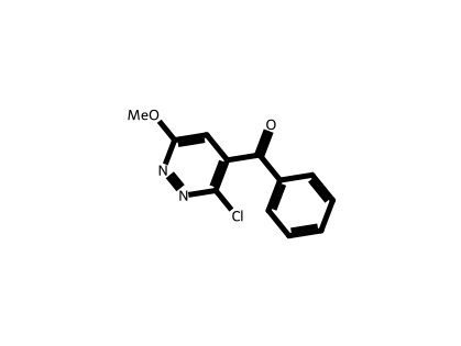 COc1cc(C(=O)c2ccccc2)c(Cl)nn1